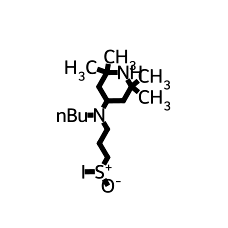 CCCCN(CCC[S+]([O-])I)C1CC(C)(C)NC(C)(C)C1